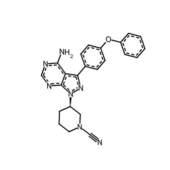 N#CN1CCC[C@@H](n2nc(-c3ccc(Oc4ccccc4)cc3)c3c(N)ncnc32)C1